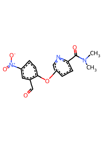 CN(C)C(=O)c1ccc(Oc2ccc([N+](=O)[O-])cc2C=O)cn1